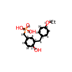 CCOc1ccc(Cc2cc(CP(=O)(O)O)ccc2O)cc1